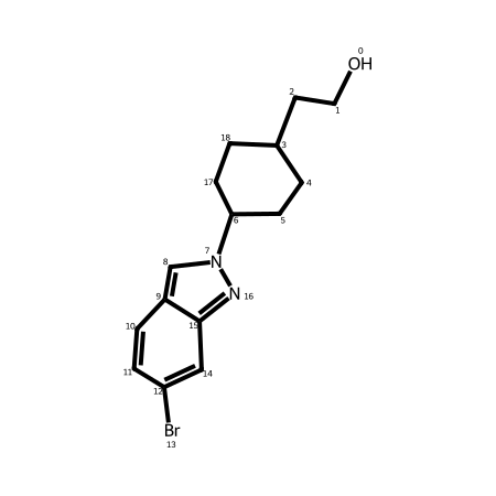 OCCC1CCC(n2cc3ccc(Br)cc3n2)CC1